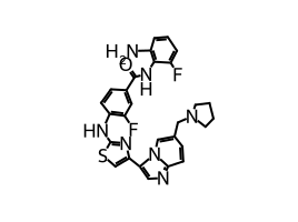 Nc1cccc(F)c1NC(=O)c1ccc(Nc2nc(-c3cnc4ccc(CN5CCCC5)cn34)cs2)c(F)c1